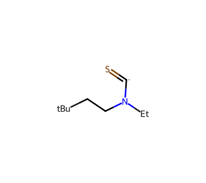 CCN([C]=S)CCC(C)(C)C